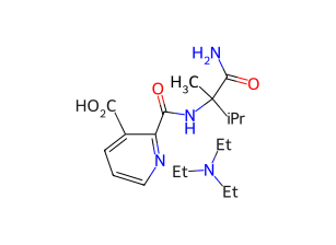 CC(C)C(C)(NC(=O)c1ncccc1C(=O)O)C(N)=O.CCN(CC)CC